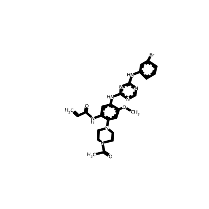 C=CC(=O)Nc1cc(Nc2ncnc(Nc3cccc(Br)c3)n2)c(OC)cc1N1CCN(C(C)=O)CC1